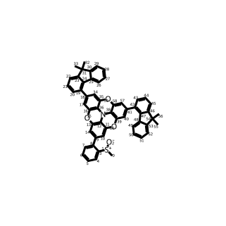 C[S+]([O-])c1ccccc1-c1cc2c3c(c1)Oc1cc(-c4cccc5c4-c4ccccc4C5(C)C)cc4c1N3c1c(cc(-c3cccc5c3-c3ccccc3C5(C)C)cc1O4)O2